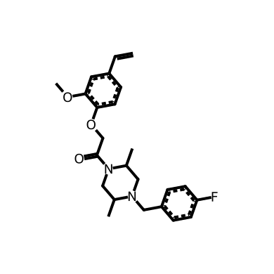 C=Cc1ccc(OCC(=O)N2CC(C)N(Cc3ccc(F)cc3)CC2C)c(OC)c1